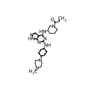 C=CC(=O)N1CCC[C@@H](Nc2nc(Nc3ccc(N4CCN(C)CC4)cc3)nc3[nH]ncc23)C1